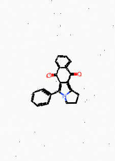 O=C1c2ccccc2C(=O)c2c1c1n(c2-c2ccccc2)CCC1